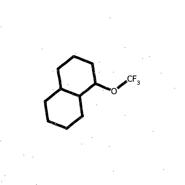 FC(F)(F)OC1CCCC2CCCCC21